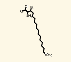 CCCCCCCCCCCCCCCCCCCCCCCCC(CC)C([SiH3])C(Cl)Cl